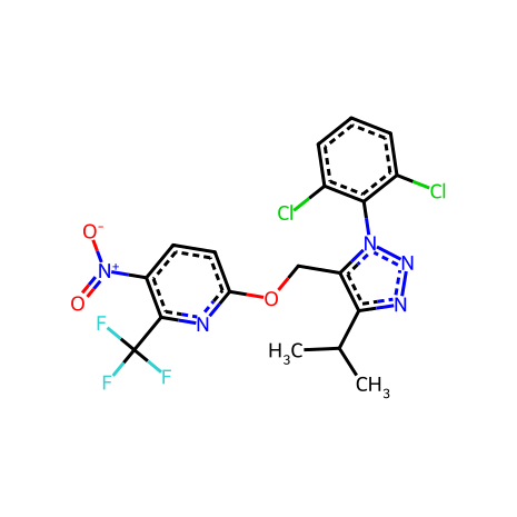 CC(C)c1nnn(-c2c(Cl)cccc2Cl)c1COc1ccc([N+](=O)[O-])c(C(F)(F)F)n1